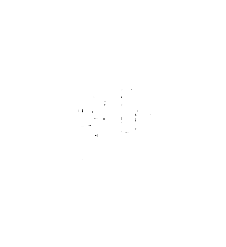 O=C1c2c(O)c(=O)nc(C(c3cccc4ccccc34)C3CCCC3)n2CCN1C1CCOCC1